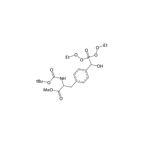 CCOOP(=O)(OOCC)C(O)c1ccc(CC(NC(=O)OC(C)(C)C)C(=O)OC)cc1